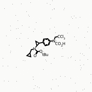 CC(C)(C)OC(=O)N(CC1CC1)C1CC1c1ccc(N(CC(Cl)(Cl)Cl)C(=O)O)cc1